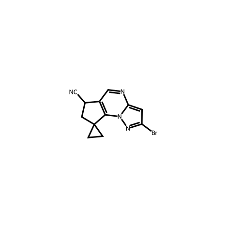 N#CC1CC2(CC2)c2c1cnc1cc(Br)nn21